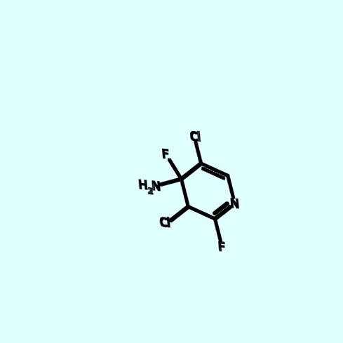 NC1(F)C(Cl)=CN=C(F)C1Cl